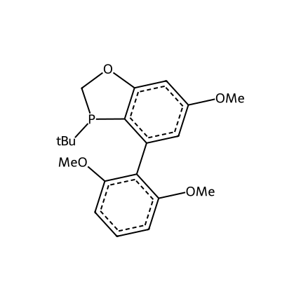 COc1cc2c(c(-c3c(OC)cccc3OC)c1)P(C(C)(C)C)CO2